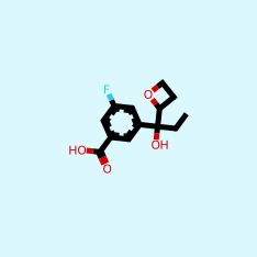 CCC(O)(c1cc(F)cc(C(=O)O)c1)C1CCO1